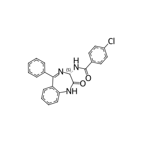 O=C(N[C@H]1N=C(c2ccccc2)c2ccccc2NC1=O)c1ccc(Cl)cc1